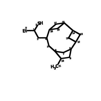 CCC(S)CC1CC2CC(CC2C)C2CC(C2)C2CC1C2